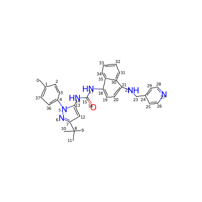 Cc1ccc(-n2nc(C(C)(C)C)cc2NC(=O)Nc2ccc(NCc3ccncc3)c3ccccc23)cc1